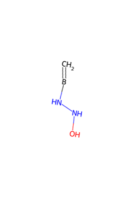 C=BNNO